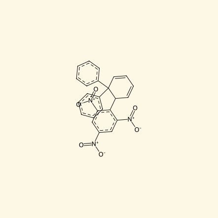 O=[N+]([O-])c1cc([N+](=O)[O-])c(C2C=CC=CC2(c2ccccc2)c2ccccc2)c([N+](=O)[O-])c1